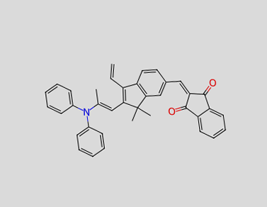 C=CC1=C(/C=C(\C)N(c2ccccc2)c2ccccc2)C(C)(C)c2cc(C=C3C(=O)c4ccccc4C3=O)ccc21